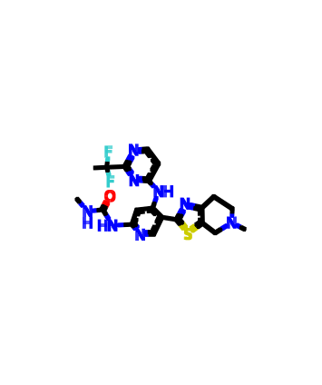 CNC(=O)Nc1cc(Nc2ccnc(C(C)(F)F)n2)c(-c2nc3c(s2)CN(C)CC3)cn1